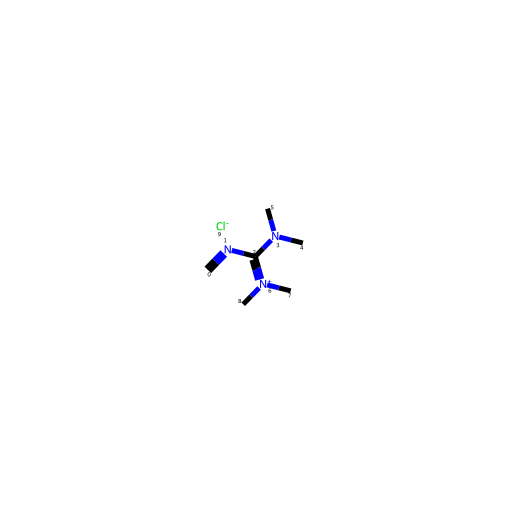 C=NC(N(C)C)=[N+](C)C.[Cl-]